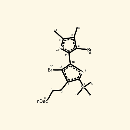 CCCCCCCCCCCCc1c([Si](C)(C)C)sc(-c2sc(C)c(C)c2Br)c1Br